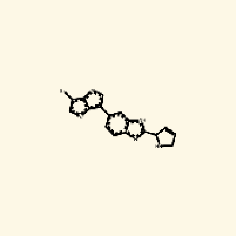 Brc1csc2c(-c3ccc4nc(C5C=CCN5)[nH]c4c3)csc12